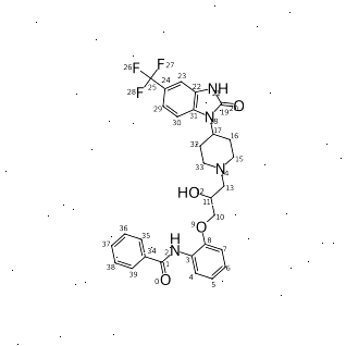 O=C(Nc1ccccc1OCC(O)CN1CCC(n2c(=O)[nH]c3cc(C(F)(F)F)ccc32)CC1)c1ccccc1